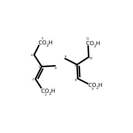 C/C(=C\C(=O)O)CC(=O)O.CC(=CC(=O)O)CC(=O)O